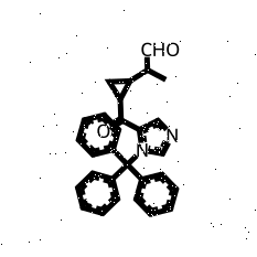 CC(C=O)C1CC1C(=O)c1cncn1C(c1ccccc1)(c1ccccc1)c1ccccc1